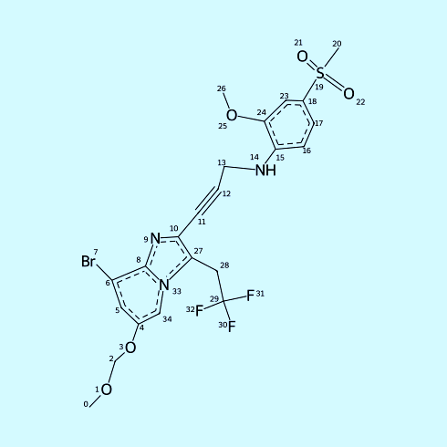 COCOc1cc(Br)c2nc(C#CCNc3ccc(S(C)(=O)=O)cc3OC)c(CC(F)(F)F)n2c1